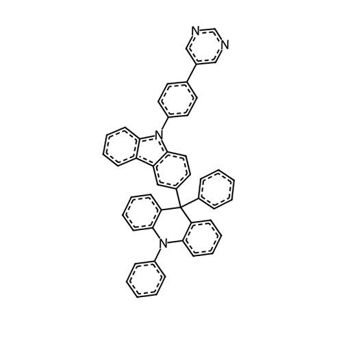 c1ccc(N2c3ccccc3C(c3ccccc3)(c3ccc4c(c3)c3ccccc3n4-c3ccc(-c4cncnc4)cc3)c3ccccc32)cc1